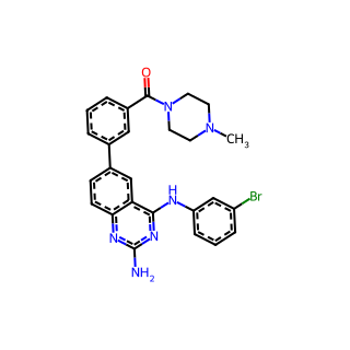 CN1CCN(C(=O)c2cccc(-c3ccc4nc(N)nc(Nc5cccc(Br)c5)c4c3)c2)CC1